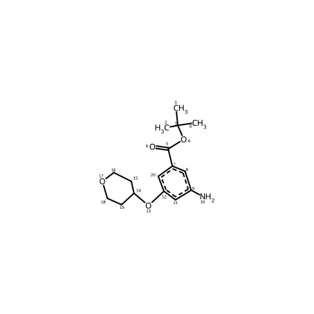 CC(C)(C)OC(=O)c1cc(N)cc(OC2CCOCC2)c1